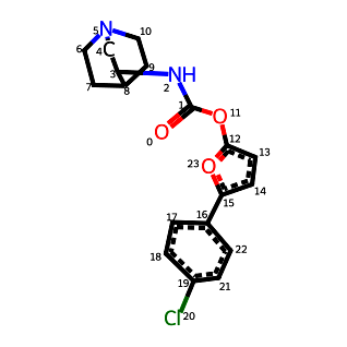 O=C(NC1CN2CCC1CC2)Oc1ccc(-c2ccc(Cl)cc2)o1